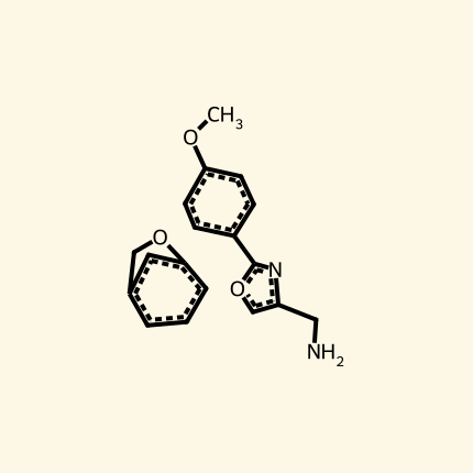 COc1ccc(-c2nc(CN)co2)cc1.c1cc2cc(c1)OC2